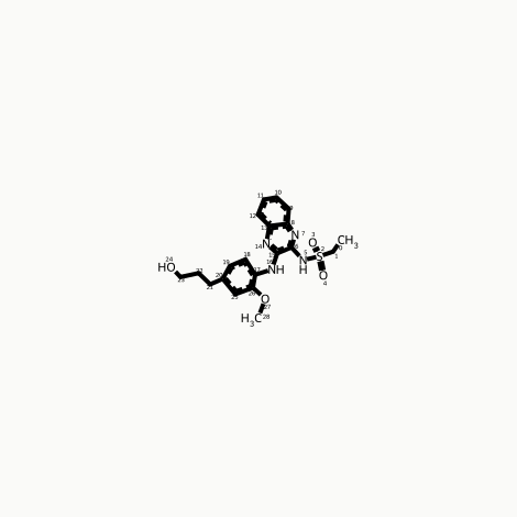 CCS(=O)(=O)Nc1nc2ccccc2nc1Nc1ccc(CCCO)cc1OC